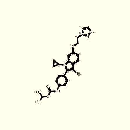 CC(C)OC(=O)Nc1ccc(-c2c(N)c3ccc(OCCn4ncnn4)cc3n2C2CC2)cc1